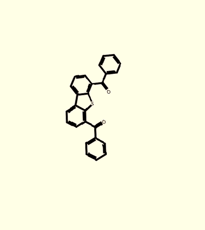 O=C(c1ccccc1)c1cccc2c1sc1c(C(=O)c3ccccc3)cccc12